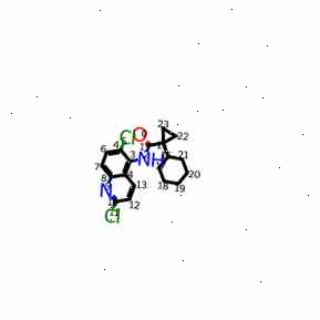 O=C(Nc1c(Cl)ccc2nc(Cl)ccc12)C1(C2CCCCC2)CC1